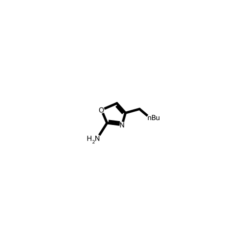 CCCCCc1coc(N)n1